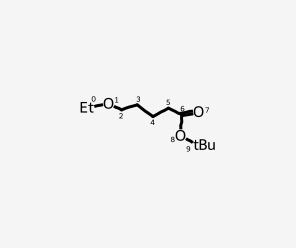 CCOCCCCC(=O)OC(C)(C)C